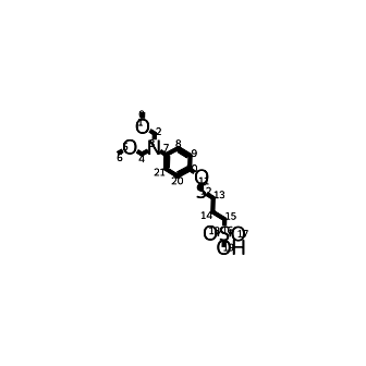 COCN(COC)c1ccc(OSCCCS(=O)(=O)O)cc1